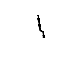 [C]#CCCC#CC#C[CH2]